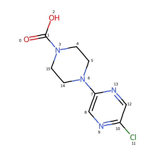 O=C(O)N1CCN(c2cnc(Cl)cn2)CC1